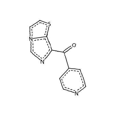 O=C(c1ccncc1)c1ncn2ccsc12